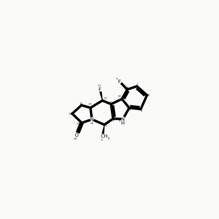 C[C@@H]1c2[nH]c3cccc(F)c3c2[C@H](F)C2CCC(=O)N21